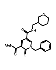 CNC(=O)c1cc(C(=O)NCC2CCCOC2)cn(Cc2ccccc2)c1=O